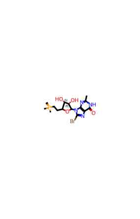 C=P(C)(C)CCC1OC(n2c(Br)nc3c(=O)[nH]c(C)nc32)[C@H](O)[C@@H]1O